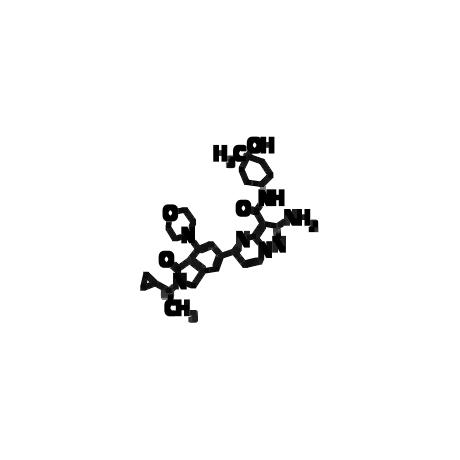 C[C@@H](C1CC1)N1Cc2cc(-c3ccn4nc(N)c(C(=O)N[C@H]5CC[C@@](C)(O)CC5)c4n3)cc(N3CCOCC3)c2C1=O